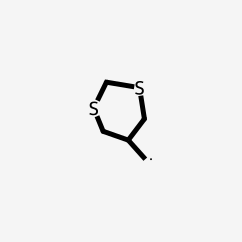 [CH2]C1CSCSC1